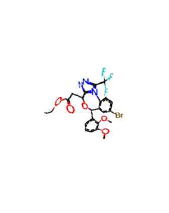 CCOC(=O)CC1OC(c2cccc(OC)c2OC)c2cc(Br)ccc2-n2c1nnc2C(F)(F)F